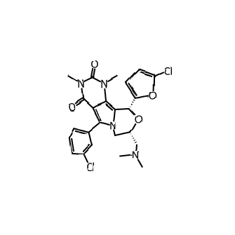 CN(C)C[C@@H]1Cn2c(-c3cccc(Cl)c3)c3c(=O)n(C)c(=O)n(C)c3c2[C@H](c2ccc(Cl)o2)O1